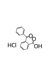 Cl.O=C(O)c1ccccc1C(=O)c1ccccc1